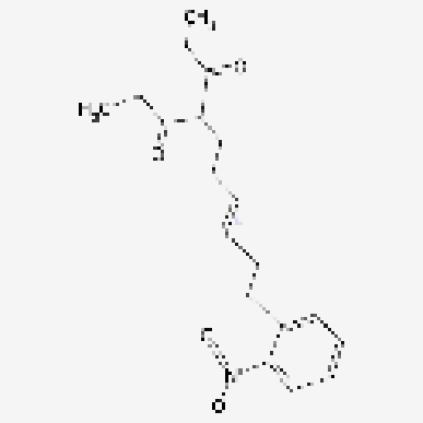 CCC(=O)C(CC/C=C/CCc1ccccc1[N+](=O)[O-])C(=O)CC